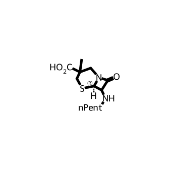 CCCCCNC1C(=O)N2CC(C)(C(=O)O)CS[C@H]12